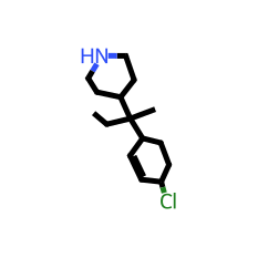 CCC(C)(C1C=CC(Cl)CC1)C1CCNCC1